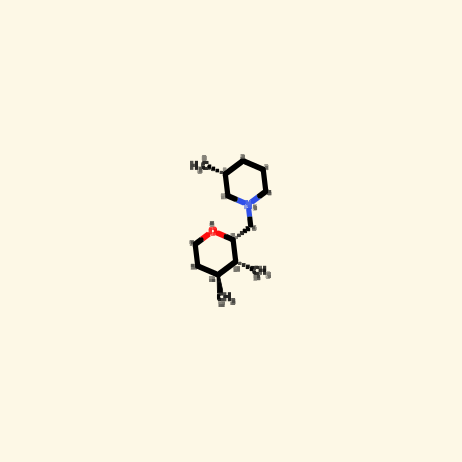 C[C@@H]1CCCN(C[C@H]2OCC[C@H](C)[C@H]2C)C1